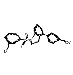 N#Cc1ccc(-c2cncc3c2CCN3S(=O)(=O)c2cccc(Cl)c2)cc1